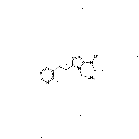 CCn1c([N+](=O)[O-])cnc1CSc1cccnc1